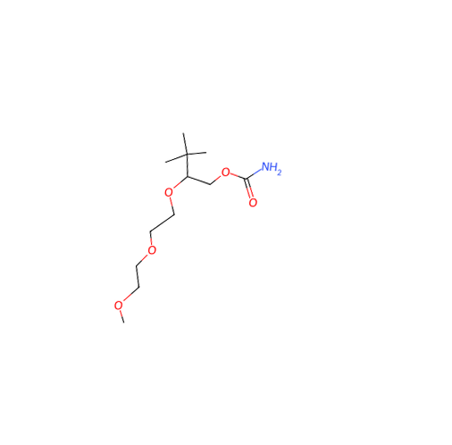 COCCOCCOC(COC(N)=O)C(C)(C)C